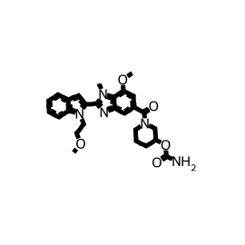 COCCn1c(-c2nc3cc(C(=O)N4CCCC(OC(N)=O)C4)cc(OC)c3n2C)cc2ccccc21